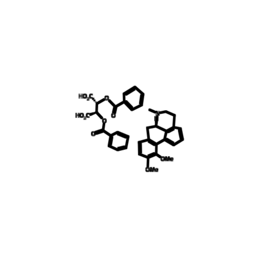 COc1ccc2c(c1OC)-c1cccc3c1[C@H](C2)N(C)CC3.O=C(O[C@@H](C(=O)O)[C@@H](OC(=O)c1ccccc1)C(=O)O)c1ccccc1